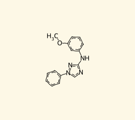 COc1cccc(Nc2ncn(-c3ccccc3)n2)c1